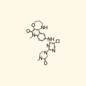 CN1CCN(c2ncc(Cl)c(Nc3ccc4c(c3)c3c(c(=O)n4C)OCCCN3)n2)CC1=O